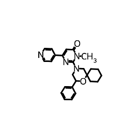 Cn1c(N2CC(c3ccccc3)OC3(CCCCC3)C2)nc(-c2ccncc2)cc1=O